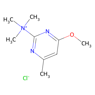 COc1cc(C)nc([N+](C)(C)C)n1.[Cl-]